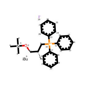 CC[C@H](C)[C@@H](O[Si](C)(C)C)[C@@H](C)C[P+](c1ccccc1)(c1ccccc1)c1ccccc1.[I-]